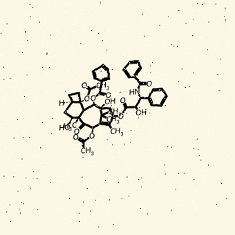 CC(=O)O[C@H]1C(=O)[C@@]2(C)C([C@H](OC(=O)c3ccccc3)[C@]3(O)CC(OC(=O)C(O)[C@@H](NC(=O)c4ccccc4)c4ccccc4)C(C)=C1C3(C)C)[C@]1(OC(C)=O)CC[C@@H]1C[C@@H]2O